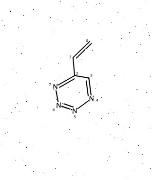 C=Cc1cnnnn1